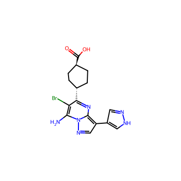 Nc1c(Br)c([C@H]2CC[C@H](C(=O)O)CC2)nc2c(-c3cn[nH]c3)cnn12